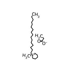 CCC(=O)[O-].CCCCCCCCCCCCCCCC[N+]1(C)CCCCC1